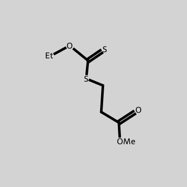 CCOC(=S)SCCC(=O)OC